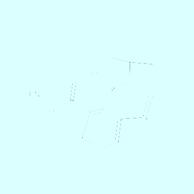 Cc1ccc(C(=O)ON)c(C(=O)OC(C)(C)C)c1[N+](=O)[O-]